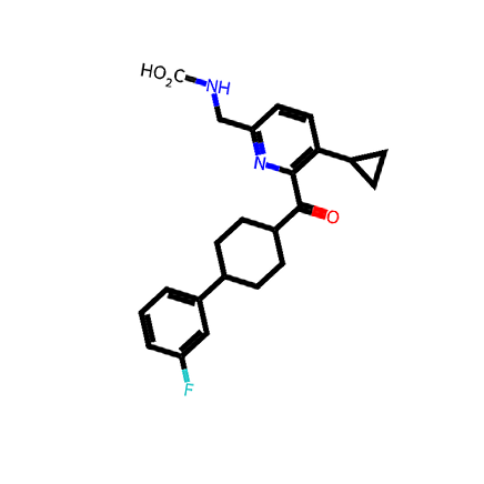 O=C(O)NCc1ccc(C2CC2)c(C(=O)C2CCC(c3cccc(F)c3)CC2)n1